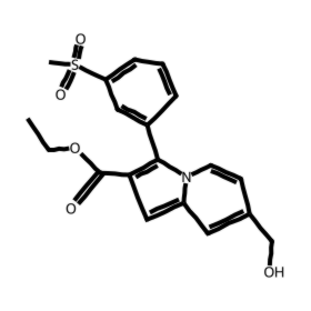 CCOC(=O)c1cc2cc(CO)ccn2c1-c1cccc(S(C)(=O)=O)c1